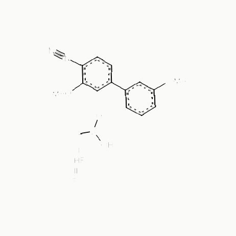 COc1cccc(-c2ccc([N+]#N)c(OC)c2)c1.F.F.F.F.[O-]B(O)O